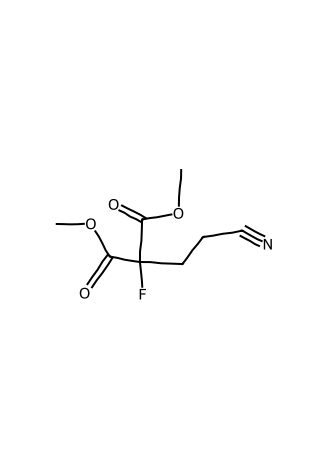 COC(=O)C(F)(CCC#N)C(=O)OC